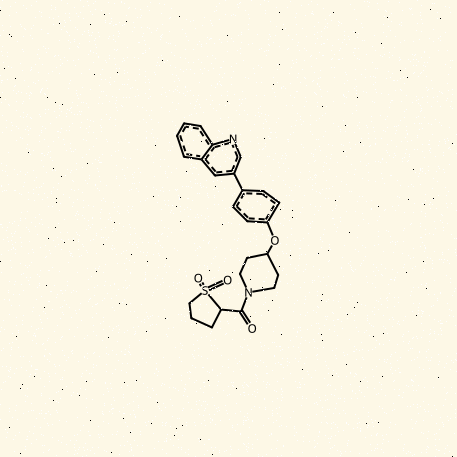 O=C(C1CCCS1(=O)=O)N1CCC(Oc2ccc(-c3cnc4ccccc4c3)cc2)CC1